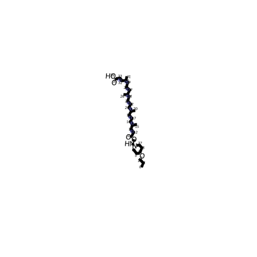 CCCOC1CCN(NOC(=O)/C=C/C(C)=C/C=C/C(C)=C/C=C/C=C(C)/C=C/C=C(C)\C=C\C(=O)O)CC1